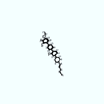 CCC/C=C/C1CCC(c2ccc(-c3ccc(-c4ccc(OCC)c(F)c4F)cc3)c(F)c2)CC1